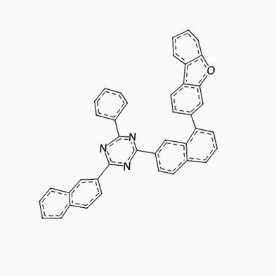 c1ccc(-c2nc(-c3ccc4ccccc4c3)nc(-c3ccc4cccc(-c5ccc6c(c5)oc5ccccc56)c4c3)n2)cc1